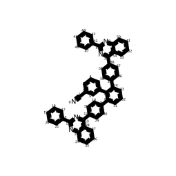 N#Cc1cccc(-c2c(-c3ccc(-c4nc(-c5ccccc5)nc5ccccc45)cc3)cccc2-c2ccc(-c3nc(-c4ccccc4)nc4ccccc34)cc2)c1